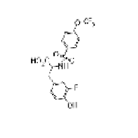 O=C(O)C(Cc1ccc(O)c(F)c1)NS(=O)(=O)c1ccc(OC(F)(F)F)cc1